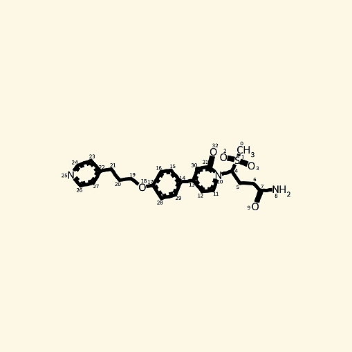 CS(=O)(=O)C(CCC(N)=O)n1ccc(-c2ccc(OCCCc3ccncc3)cc2)cc1=O